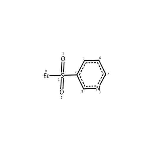 CCS(=O)(=O)c1cc[c]nc1